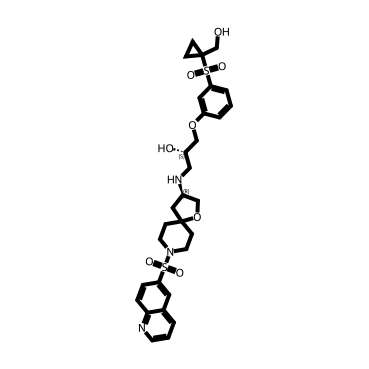 O=S(=O)(c1ccc2ncccc2c1)N1CCC2(CC1)C[C@@H](NC[C@H](O)COc1cccc(S(=O)(=O)C3(CO)CC3)c1)CO2